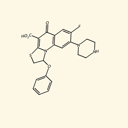 O=C(O)c1c2n(c3cc(N4CCNCC4)c(F)cc3c1=O)C(Oc1ccccc1)CS2